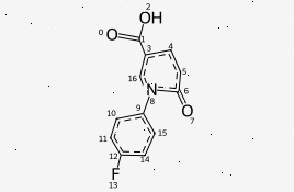 O=C(O)c1ccc(=O)n(-c2ccc(F)cc2)c1